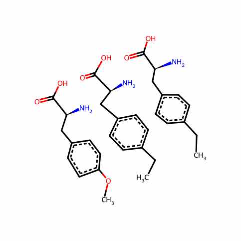 CCc1ccc(C[C@H](N)C(=O)O)cc1.CCc1ccc(C[C@H](N)C(=O)O)cc1.COc1ccc(C[C@H](N)C(=O)O)cc1